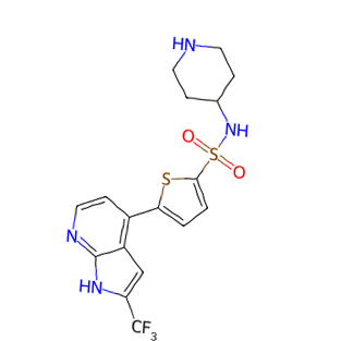 O=S(=O)(NC1CCNCC1)c1ccc(-c2ccnc3[nH]c(C(F)(F)F)cc23)s1